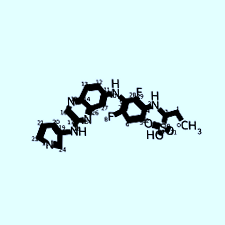 CCC(Nc1ccc(F)c(Nc2ccc3ncc(Nc4cccnc4)nc3c2)c1F)S(=O)(=O)O